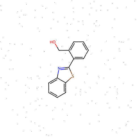 OCc1ccccc1-c1nc2ccccc2s1